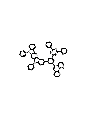 c1ccc(-c2nc(-c3ccccc3)nc(-c3cc(-c4ccc5c(c4)c4nc6c7ccccc7n(-c7ccccc7)c6cc4n5-c4ccccc4)cc(-c4cc5cccnc5c5ncccc45)c3)n2)cc1